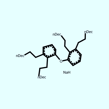 CCCCCCCCCCCCc1cccc(Oc2cccc(CCCCCCCCCCCC)c2CCCCCCCCCCCC)c1CCCCCCCCCCCC.[NaH]